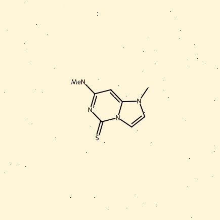 CNc1cc2n(C)ccn2c(=S)n1